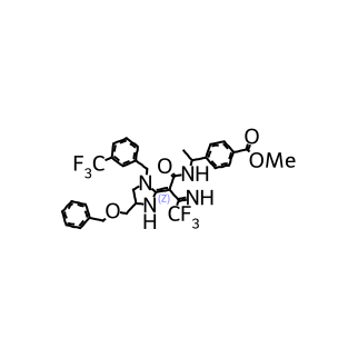 COC(=O)c1ccc(C(C)NC(=O)/C(C(=N)C(F)(F)F)=C2/NC(COCc3ccccc3)CN2Cc2cccc(C(F)(F)F)c2)cc1